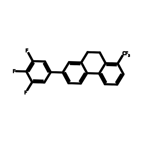 Fc1cc(-c2ccc3c(c2)CCc2c-3cccc2C(F)(F)F)cc(F)c1F